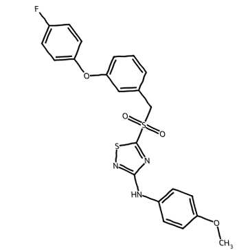 COc1ccc(Nc2nsc(S(=O)(=O)Cc3cccc(Oc4ccc(F)cc4)c3)n2)cc1